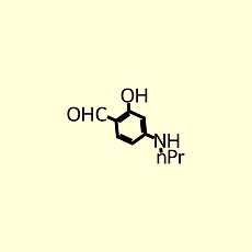 CCCNc1ccc(C=O)c(O)c1